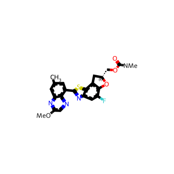 CNC(=O)OC[C@H]1Cc2c(c(F)cc3nc(-c4cc(C)cc5nc(OC)cnc45)sc23)O1